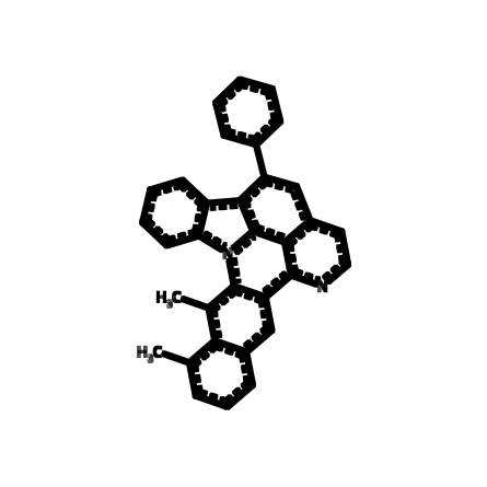 Cc1cccc2cc3c4nccc5cc(-c6ccccc6)c6c7ccccc7n(c3c(C)c12)c6c54